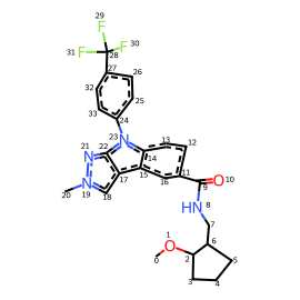 COC1CCCC1CNC(=O)c1ccc2c(c1)c1cn(C)nc1n2-c1ccc(C(F)(F)F)cc1